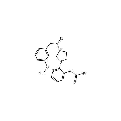 CCCCOc1cccc(CN(CC)[C@@H]2CCN(c3ncccc3OC(=O)C(C)C)C2)c1